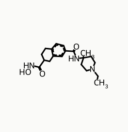 CCN1CCC(C)(NC(=O)c2ccc3c(c2)CC(C(=O)NO)CC3)CC1